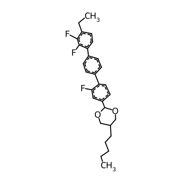 CCCCCC1COC(c2ccc(-c3ccc(-c4ccc(CC)c(F)c4F)cc3)c(F)c2)OC1